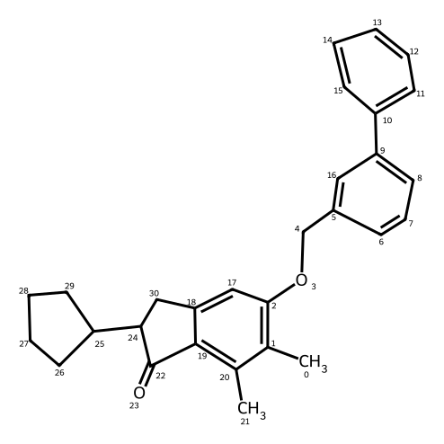 Cc1c(OCc2cccc(-c3ccccc3)c2)cc2c(c1C)C(=O)C(C1CCCC1)C2